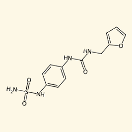 NS(=O)(=O)Nc1ccc(NC(=O)NCc2ccco2)cc1